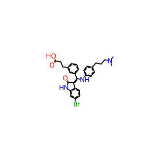 CN(C)CCCc1ccc(NC(=C2C(=O)Nc3cc(Br)ccc32)c2cccc(CCC(=O)O)c2)cc1